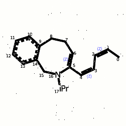 C\C=C/C=C\C1=C\CCc2ccccc2CN1C(C)C